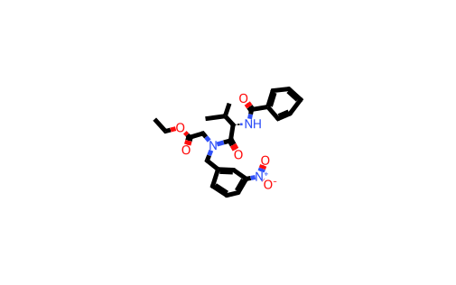 CCOC(=O)CN(Cc1cccc([N+](=O)[O-])c1)C(=O)[C@@H](NC(=O)c1ccccc1)C(C)C